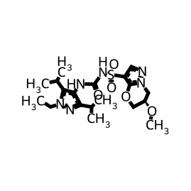 CCn1nc(C(C)C)c(NC(=O)NS(=O)(=O)c2cnn3c2OC[C@H](OC)C3)c1C(C)C